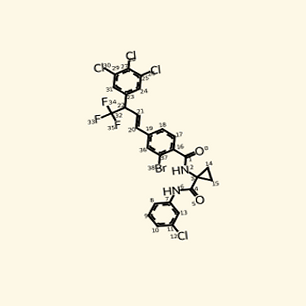 O=C(NC1(C(=O)Nc2cccc(Cl)c2)CC1)c1ccc(/C=C/C(c2cc(Cl)c(Cl)c(Cl)c2)C(F)(F)F)cc1Br